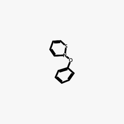 C1=CSN(Oc2ccccc2)C=C1